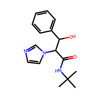 CC(C)(C)NC(=O)C(C(O)c1ccccc1)n1ccnc1